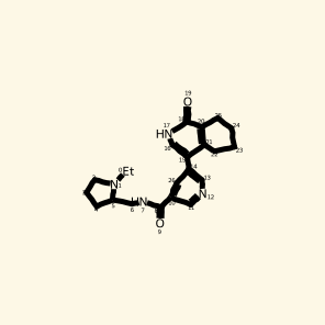 CCN1CCCC1CNC(=O)c1cncc(-c2c[nH]c(=O)c3c2CCCC3)c1